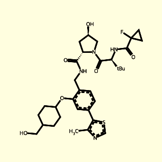 Cc1ncsc1-c1ccc(CNC(=O)[C@@H]2C[C@@H](O)CN2C(=O)[C@@H](NC(=O)C2(F)CC2)C(C)(C)C)c(OC2CCC(CO)CC2)c1